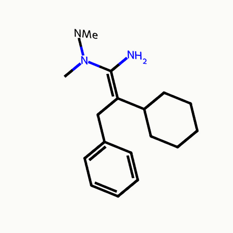 CNN(C)/C(N)=C(\Cc1ccccc1)C1CCCCC1